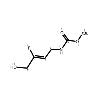 CC(C)(C)OC(=O)NCC=C(F)CO